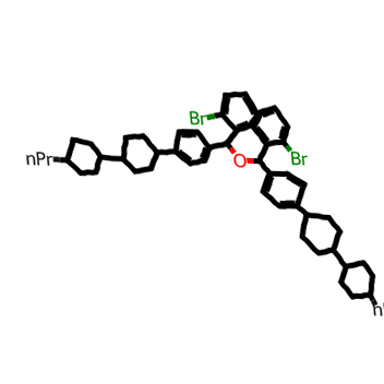 CCCC1CCC(C2CCC(c3ccc(C(OC(c4ccc(C5CCC(C6CCC(CCC)CC6)CC5)cc4)c4ccccc4Br)c4ccccc4Br)cc3)CC2)CC1